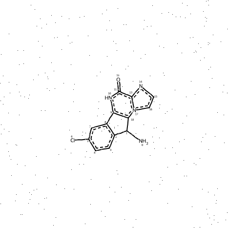 NC1c2ccc(Cl)cc2-c2[nH]c(=O)c3nccn3c21